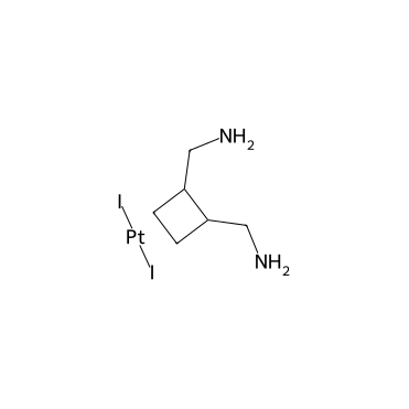 NCC1CCC1CN.[I][Pt][I]